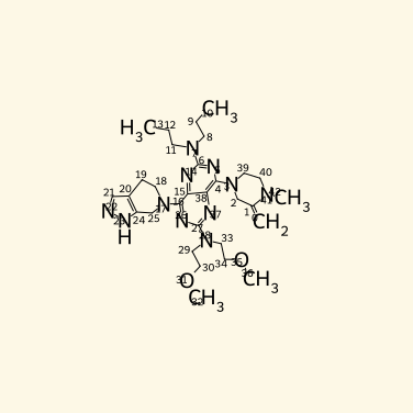 C=C1CN(c2nc(N(CCC)CCC)nc3c(N4CCc5cn[nH]c5C4)nc(N(CCOC)CCOC)nc23)CCN1C